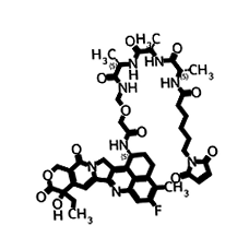 CCC1(O)C(=O)OCc2c1cc1n(c2=O)Cc2c-1nc1cc(F)c(C)c3c1c2[C@@H](NC(=O)COCNC(=O)[C@H](C)NC(=O)[C@H](C)NC(=O)[C@H](C)NC(=O)CCCCCN1C(=O)C=CC1=O)CC3